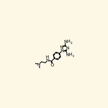 CN(C)CCNC(=O)c1ccc(-n2nc(N)nc2N)cc1